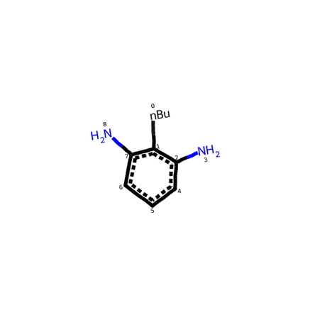 CCCCc1c(N)cccc1N